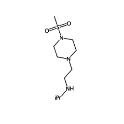 CC(C)NCCN1CCN(S(C)(=O)=O)CC1